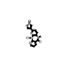 CCN1c2ncccc2C(=O)N(C)c2ccc(-c3cnn(CC)c3)nc21